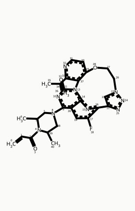 C=CC(=O)N1C(C)CN(c2nc(=O)n3c4nc(c(F)cc24)-c2cn(nn2)CCOc2ccnc(C(C)C)c2-3)CC1C